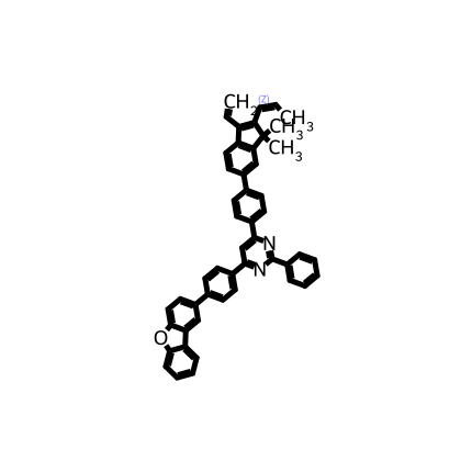 C=CC1=C(/C=C\C)C(C)(C)c2cc(-c3ccc(-c4cc(-c5ccc(-c6ccc7oc8ccccc8c7c6)cc5)nc(-c5ccccc5)n4)cc3)ccc21